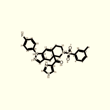 Cc1cccc(S(=O)(=O)N2CCC3=Cc4c(cnn4-c4ccc(F)cc4)CC3(C(=O)c3cscn3)C2)c1